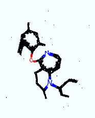 CCC(CC)N1c2ccnc(Oc3c(C)cc(C)cc3C)c2CCC1C